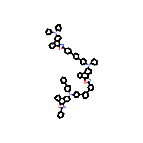 c1ccc(-c2ccc(N(c3ccc(-c4cccc(-c5cccc(-c6nc7c8ccc(N(c9ccccc9)c9ccc(-c%10ccc(-c%11ccc(-c%12nc%13c%14ccc(N(c%15ccccc%15)c%15ccccc%15)cc%14c%14ccccc%14c%13o%12)cc%11)cc%10)cc9)cc8c8ccccc8c7o6)c5)c4)cc3)c3ccc4c5c(c6ccccc6c4c3)OC(c3ccccc3)N5)cc2)cc1